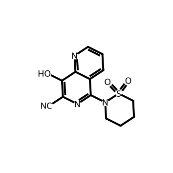 N#Cc1nc(N2CCCCS2(=O)=O)c2cccnc2c1O